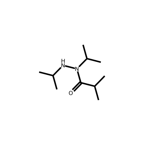 CC(C)NN(C(=O)C(C)C)C(C)C